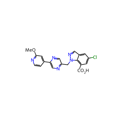 COc1cc(-c2cnc(Cn3ncc4cc(Cl)cc(C(=O)O)c43)cn2)ccn1